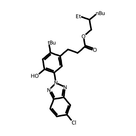 CCCCC(CC)COC(=O)CCc1cc(-n2nc3ccc(Cl)cc3n2)c(O)cc1C(C)(C)C